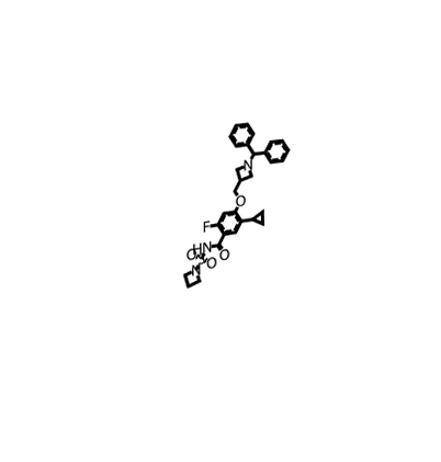 O=C(NS(=O)(=O)N1CCC1)c1cc(C2CC2)c(OCC2CN(C(c3ccccc3)c3ccccc3)C2)cc1F